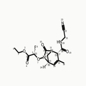 CCOC(=O)[C@H](F)ON1C(=O)N2C[C@H]1C=C(C)[C@H]2C(=O)NCC#N